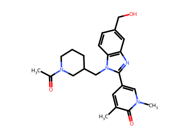 CC(=O)N1CCCC(Cn2c(-c3cc(C)c(=O)n(C)c3)nc3cc(CO)ccc32)C1